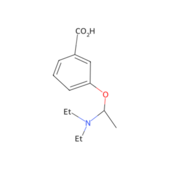 CCN(CC)C(C)Oc1cccc(C(=O)O)c1